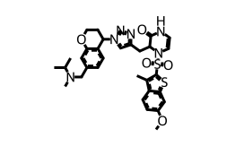 COc1ccc2c(C)c(S(=O)(=O)N3C=CNC(=O)C3Cc3cn(C4CCOc5cc(CN(C)C(C)C)ccc54)nn3)sc2c1